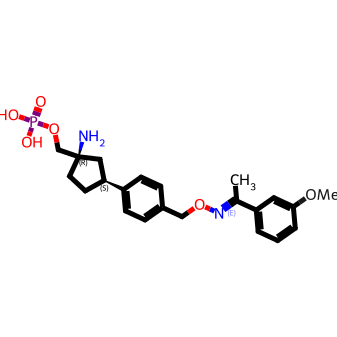 COc1cccc(/C(C)=N/OCc2ccc([C@H]3CC[C@](N)(COP(=O)(O)O)C3)cc2)c1